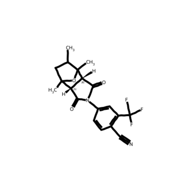 CC1CC2(C)OC1(C)[C@@H]1C(=O)N(c3ccc(C#N)c(C(F)(F)F)c3)C(=O)[C@@H]12